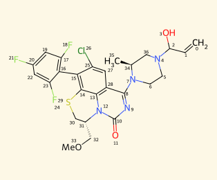 C=CC(O)N1CCN(c2nc(=O)n3c4c(c(-c5c(F)cc(F)cc5F)c(Cl)cc24)SC[C@H]3COC)[C@@H](C)C1